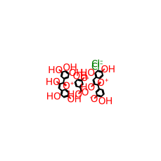 COc1cc(-c2[o+]c3cc(O)cc(O)c3cc2O)ccc1O.COc1cc(C(=O)O)ccc1O.Oc1cc(O)c2cc(O)c(-c3cc(O)c(O)c(O)c3)[o+]c2c1.[Cl-].[Cl-]